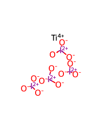 [O-][I+2]([O-])[O-].[O-][I+2]([O-])[O-].[O-][I+2]([O-])[O-].[O-][I+2]([O-])[O-].[Ti+4]